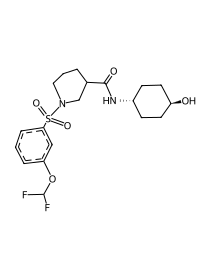 O=C(N[C@H]1CC[C@H](O)CC1)C1CCCN(S(=O)(=O)c2cccc(OC(F)F)c2)C1